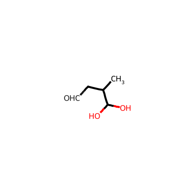 CC(CC=O)C(O)O